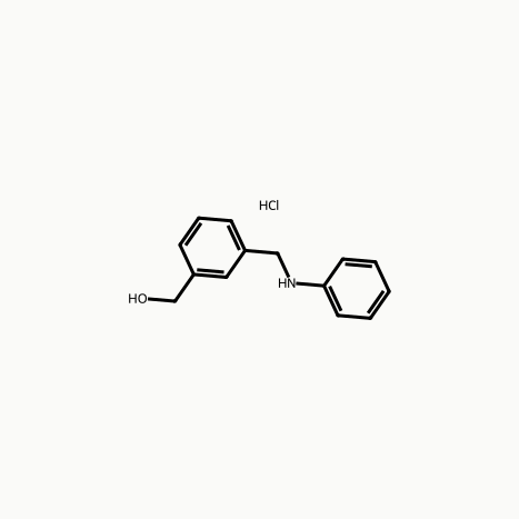 Cl.OCc1cccc(CNc2ccccc2)c1